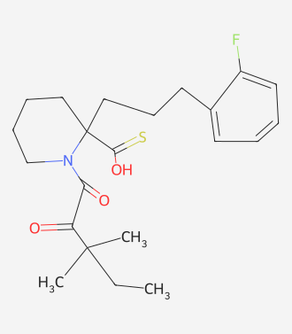 CCC(C)(C)C(=O)C(=O)N1CCCCC1(CCCc1ccccc1F)C(O)=S